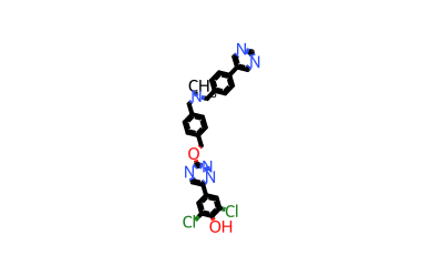 CN(Cc1ccc(COc2ncc(-c3cc(Cl)c(O)c(Cl)c3)nn2)cc1)Cc1ccc(-c2cncnc2)cc1